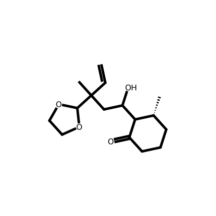 C=CC(C)(CC(O)C1C(=O)CCC[C@H]1C)C1OCCO1